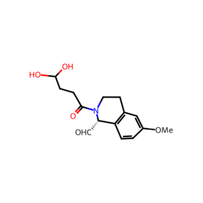 COc1ccc2c(c1)CCN(C(=O)CCC(O)O)[C@H]2C=O